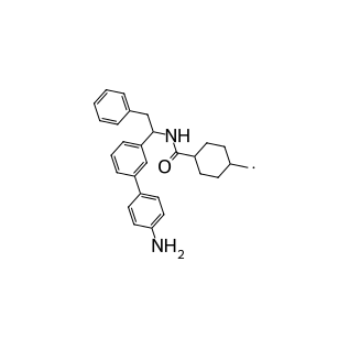 [CH2]C1CCC(C(=O)NC(Cc2ccccc2)c2cccc(-c3ccc(N)cc3)c2)CC1